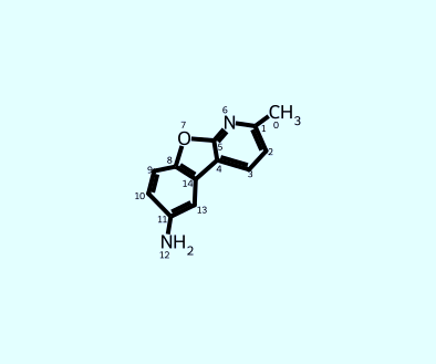 Cc1ccc2c(n1)oc1ccc(N)cc12